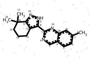 Cc1ccc2cnc(-c3[nH]nc4c3CCCC4(C)C)nc2c1